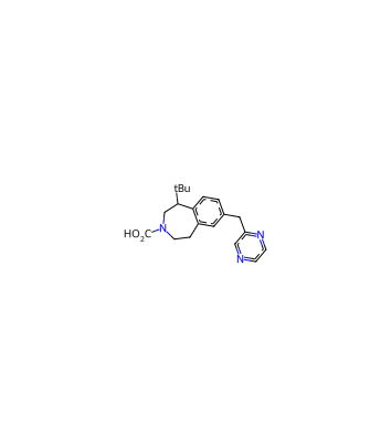 CC(C)(C)C1CN(C(=O)O)CCc2cc(Cc3cnccn3)ccc21